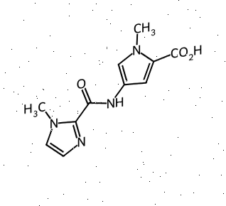 Cn1cc(NC(=O)c2nccn2C)cc1C(=O)O